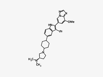 COc1cc(-c2[nH]c3ccc(C4CCC(N5CC[C@@H](N(C)C)C5)CC4)cc3c2C(C)C)cn2ncnc12